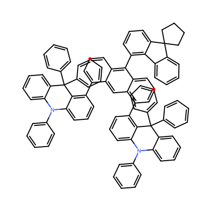 c1ccc(N2c3ccccc3C(c3ccccc3)(c3ccccc3)c3c(-c4cccc5c(-c6cccc7c6-c6ccccc6C76CCCC6)c6cccc(-c7cccc8c7C(c7ccccc7)(c7ccccc7)c7ccccc7N8c7ccccc7)c6cc45)cccc32)cc1